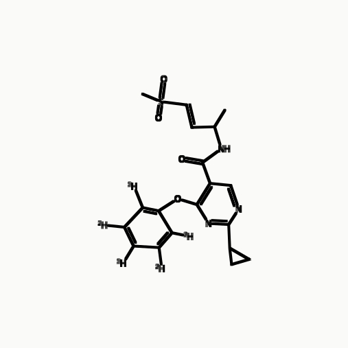 [2H]c1c([2H])c([2H])c(Oc2nc(C3CC3)ncc2C(=O)NC(C)C=CS(C)(=O)=O)c([2H])c1[2H]